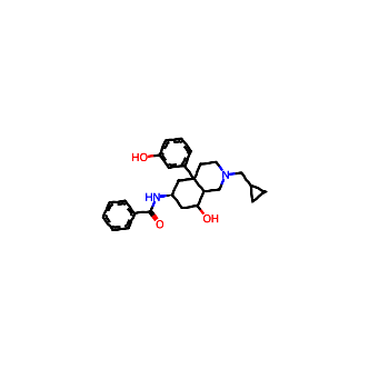 O=C(N[C@@H]1CC(O)C2CN(CC3CC3)CCC2(c2cccc(O)c2)C1)c1ccccc1